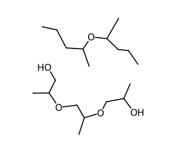 CC(O)COC(C)COC(C)CO.CCCC(C)OC(C)CCC